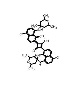 C=c1/c(=C2/C(=O)C(c3ccc4c(Cl)ccc5c4c3NC3(CC(C)OC(C)C3)N5)=C2O)ccc2c(Cl)ccc(NC3(C)CC(C)OC(C)C3)c12